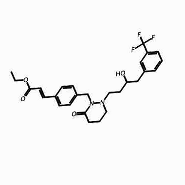 CCOC(=O)C=Cc1ccc(CN2C(=O)CCCN2CCC(O)Cc2cccc(C(F)(F)F)c2)cc1